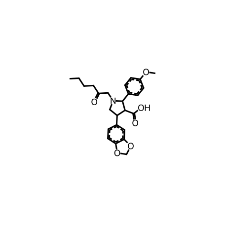 CCCCC(=O)CN1CC(c2ccc3c(c2)OCO3)C(C(=O)O)C1c1ccc(OC)cc1